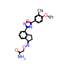 CC(C)Oc1ccc(-c2nc(-c3cccc4c3CC/C4=N/OCC(N)=O)no2)cc1C#N